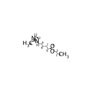 CCCOC(=O)CCCCCn1c[c]nc1C